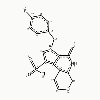 O=c1[nH]c2c(c3c(S(=O)(=O)Cl)cn(Cc4ccc(F)cc4)c13)C=COC2